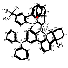 CC(C)(C)c1ccc(N2c3cc(N(c4ccccc4)c4ccccc4)cc4c3B(c3sc5ccccc5c32)N2c3c-4cccc3C3(C)CCCCC23C)c(-c2ccccc2)c1